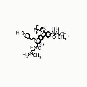 CC(C)NC(=O)Nc1ccc(-c2ccc3c(c2)c(=O)c(C(=O)NCCN(C)C)cn3CCC2CCN(C)CC2)c(-c2nc(C(F)(F)F)cs2)c1